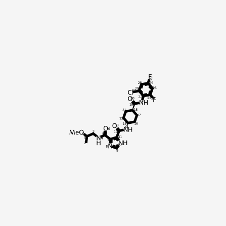 COC(C)CNC(=O)c1nc[nH]c1C(=O)N[C@H]1CC[C@H](C(=O)Nc2c(F)cc(F)cc2Cl)CC1